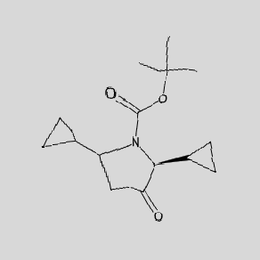 CC(C)(C)OC(=O)N1C(C2CC2)CC(=O)[C@@H]1C1CC1